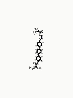 C=C(C)C(=O)O/C=C\Oc1ccc(-c2ccc(-c3ccc(OC(=O)C(=C)C)c(F)c3)cc2)cc1